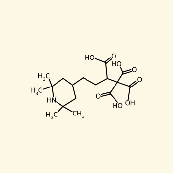 CC1(C)CC(CCC(C(=O)O)C(C(=O)O)(C(=O)O)C(=O)O)CC(C)(C)N1